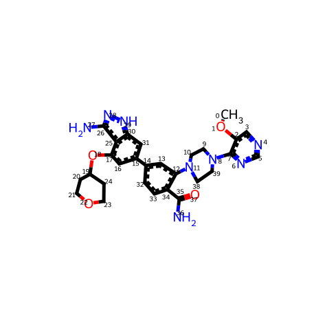 COc1cncnc1N1CCN(c2cc(-c3cc(OC4CCOCC4)c4c(N)n[nH]c4c3)ccc2C(N)=O)CC1